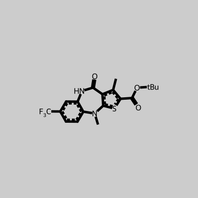 Cc1c(C(=O)OC(C)(C)C)sc2c1C(=O)Nc1cc(C(F)(F)F)ccc1N2C